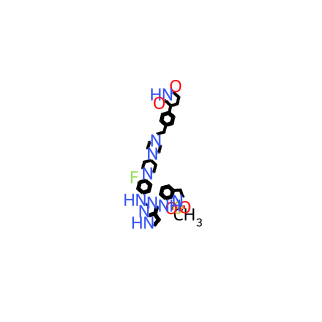 CS(=O)(=O)N1CCc2cccc(Nc3nc(Nc4ccc(N5CCC(N6CCN(CCc7ccc(C8CCC(=O)NC8=O)cc7)CC6)CC5)c(F)c4)nc4[nH]ccc34)c21